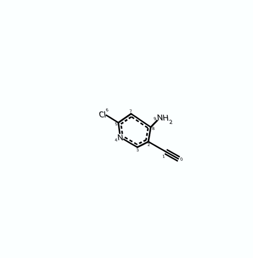 C#Cc1cnc(Cl)cc1N